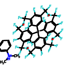 C[NH+](C)c1ccccc1.Fc1c([B-](c2c(F)c(C(F)(F)F)c(F)c(C(F)(F)F)c2F)(c2c(F)c(C(F)(F)F)c(F)c(C(F)(F)F)c2F)c2c(F)c(C(F)(F)F)c(F)c(C(F)(F)F)c2F)c(F)c(C(F)(F)F)c(F)c1C(F)(F)F